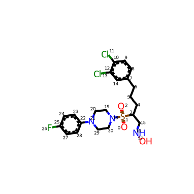 O=S(=O)(C(CCCc1ccc(Cl)c(Cl)c1)CNO)N1CCN(c2ccc(F)cc2)CC1